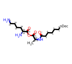 CCCCCCCCCCCCCCCC(=O)N[C@@H](C)C(=O)OC(=O)[C@@H](N)CCCCN